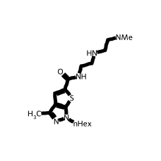 CCCCCCn1nc(C)c2cc(C(=O)NCCNCCNC)sc21